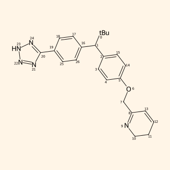 CC(C)(C)C(c1ccc(OCC2=NCCC=C2)cc1)c1ccc(-c2nn[nH]n2)cc1